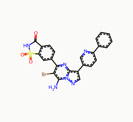 Nc1c(Br)c(-c2ccc3c(c2)S(=O)(=O)NC3=O)nc2c(-c3ccc(-c4ccccc4)nc3)cnn12